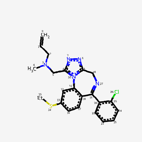 C=CCN(C)Cc1nnc2n1-c1cc(SCC)ccc1C(c1ccccc1Cl)=NC2